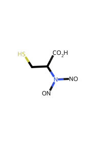 O=NN(N=O)C(CS)C(=O)O